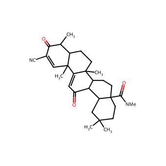 CNC(=O)C12CCC3C(C(=O)C=C4C5(C)C=C(C#N)C(=O)C(C)C5CCC43C)C1CC(C)(C)CC2